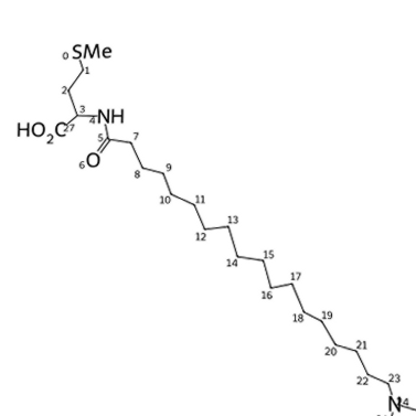 CSCCC(NC(=O)CCCCCCCCCCCCCCCCCN(C)C)C(=O)O